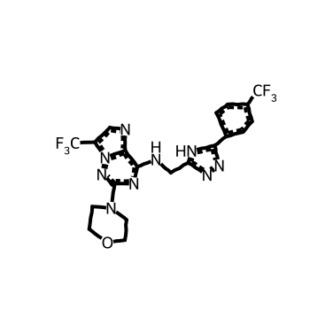 FC(F)(F)c1ccc(-c2nnc(CNc3nc(N4CCOCC4)nn4c(C(F)(F)F)cnc34)[nH]2)cc1